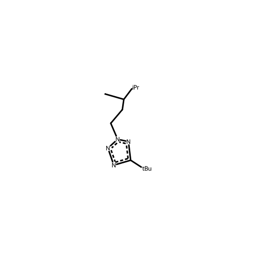 CC(C)C(C)CCn1nnc(C(C)(C)C)n1